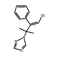 CC/C=C(\c1ccccc1)C(C)(C)n1cncn1